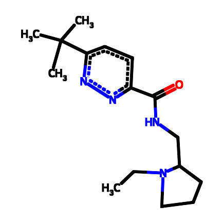 CCN1CCCC1CNC(=O)c1ccc(C(C)(C)C)nn1